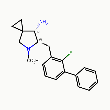 N[C@@H]1[C@H](Cc2cccc(-c3ccccc3)c2F)N(C(=O)O)CC12CC2